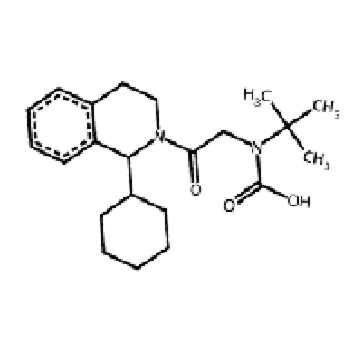 CC(C)(C)N(CC(=O)N1CCc2ccccc2C1C1CCCCC1)C(=O)O